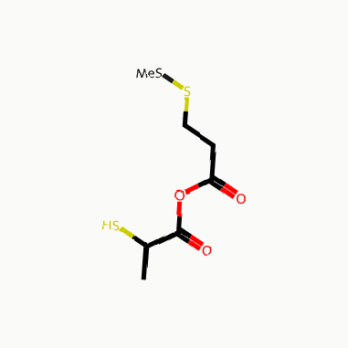 CSSCCC(=O)OC(=O)C(C)S